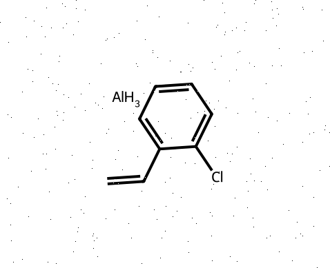 C=Cc1ccccc1Cl.[AlH3]